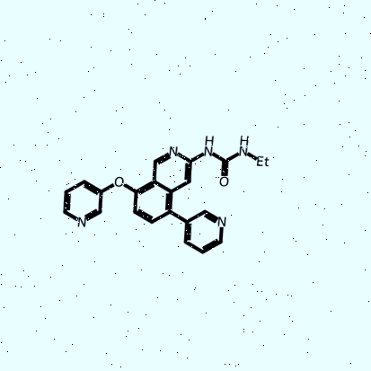 CCNC(=O)Nc1cc2c(-c3cccnc3)ccc(Oc3cccnc3)c2cn1